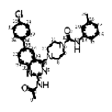 CC(=O)Nc1nc(N2CCN(C(=O)Nc3cccc(C)c3)CC2)c2cc(-c3ccc(Cl)cc3)ccc2n1